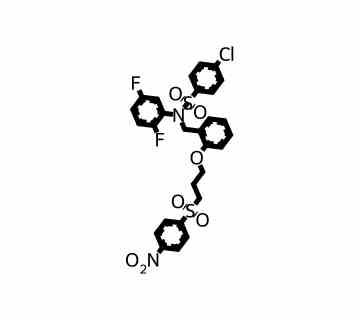 O=[N+]([O-])c1ccc(S(=O)(=O)CCCOc2ccccc2CN(c2cc(F)ccc2F)S(=O)(=O)c2ccc(Cl)cc2)cc1